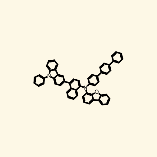 c1ccc(-c2ccc(-c3ccc(N(c4ccc(-c5ccc6c(c5)c5ccccc5n6-c5ccccc5)c5ccccc45)c4cccc5c4oc4ccccc45)cc3)cc2)cc1